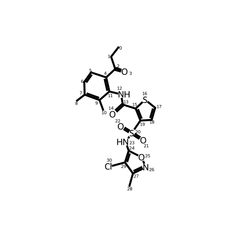 CCC(=O)c1ccc(C)c(C)c1NC(=O)c1sccc1S(=O)(=O)Nc1onc(C)c1Cl